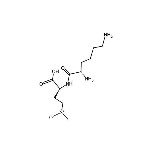 C[S+]([O-])CC[C@H](NC(=O)[C@@H](N)CCCCN)C(=O)O